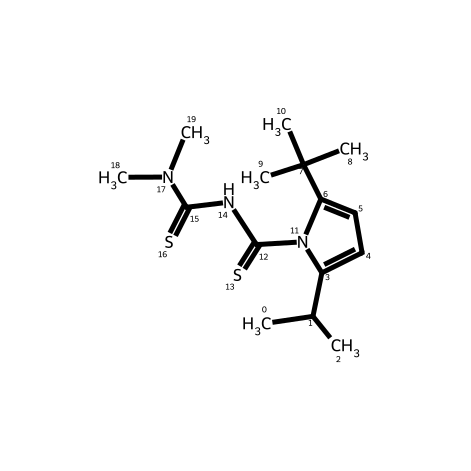 CC(C)c1ccc(C(C)(C)C)n1C(=S)NC(=S)N(C)C